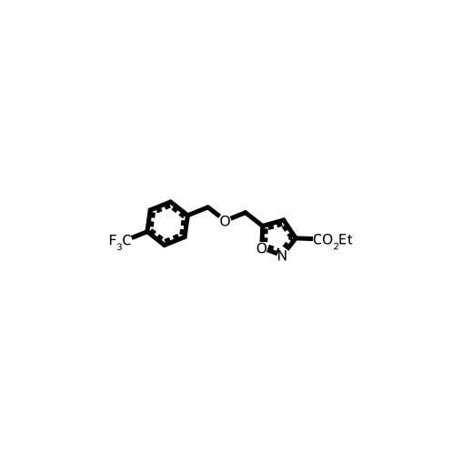 CCOC(=O)c1cc(COCc2ccc(C(F)(F)F)cc2)on1